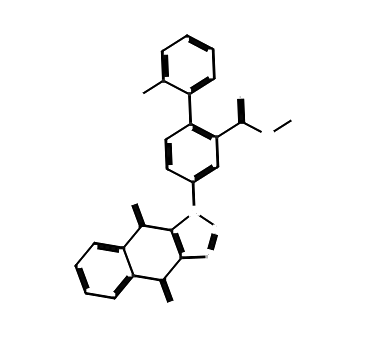 COC(=O)c1cc(-n2nnc3c2C(=O)c2ccccc2C3=O)ccc1-c1ccccc1F